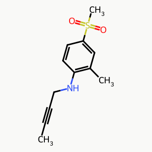 CC#CCNc1ccc(S(C)(=O)=O)cc1C